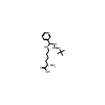 CC(C)(C)ONNC(NCCCC[C@H](N)C(=O)O)c1cccnc1